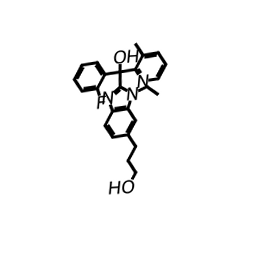 CCn1c(C(O)(c2ccccc2F)c2ncccc2C)nc2ccc(CCCO)cc21